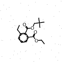 CCOC(=O)c1cccc(CC)c1C(=O)OCC(C)(C)C